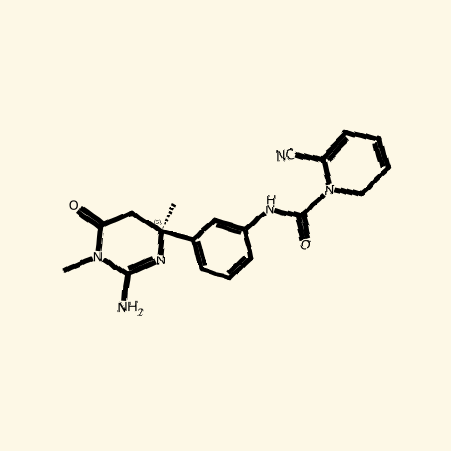 CN1C(=O)C[C@@](C)(c2cccc(NC(=O)N3CC=CC=C3C#N)c2)N=C1N